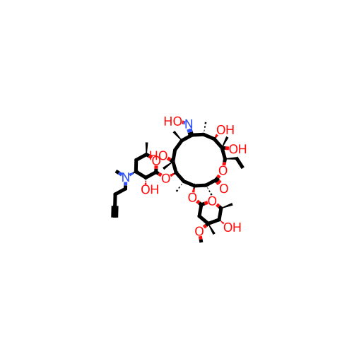 C#CCCN(C)[C@H]1C[C@@H](C)OC(O[C@@H]2[C@@H](C)[C@H](OC3C[C@@](C)(OC)[C@@H](O)[C@H](C)O3)[C@@H](C)C(=O)O[C@H](CC)[C@@](C)(O)[C@H](O)[C@@H](C)/C(=N/O)[C@H](C)C[C@@]2(C)O)[C@@H]1O